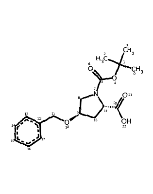 CC(C)(C)OC(=O)N1C[C@H](OCc2ccccc2)C[C@H]1C(=O)O